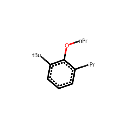 CCCOc1c(C(C)C)cccc1C(C)(C)C